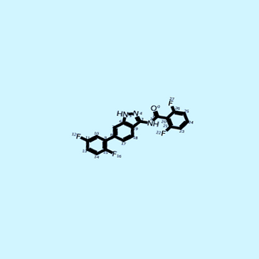 O=C(Nc1n[nH]c2cc(-c3cc(F)ccc3F)ccc12)c1c(F)cccc1F